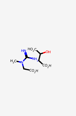 CN(CC(=O)O)C(=N)N.O=C(O)CC(O)C(=O)O